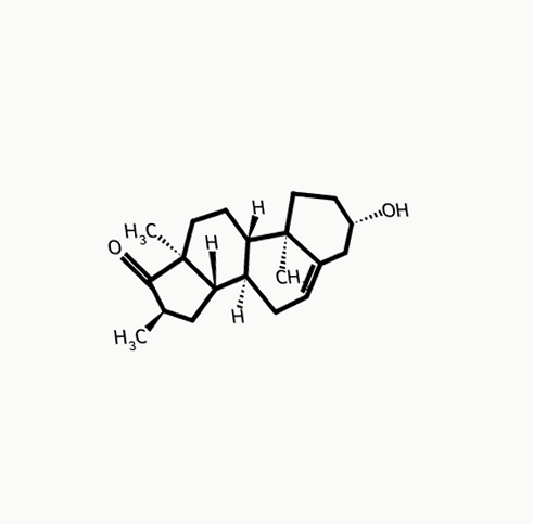 C[C@@H]1C[C@H]2[C@@H]3CC=C4C[C@@H](O)CC[C@]4(C)[C@H]3CC[C@]2(C)C1=O